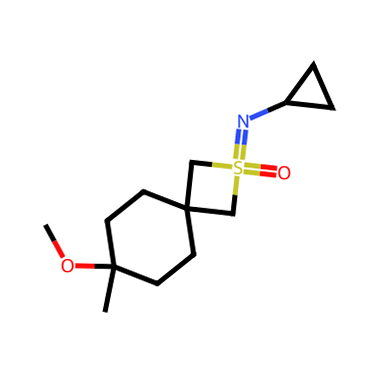 COC1(C)CCC2(CC1)CS(=O)(=NC1CC1)C2